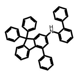 c1ccc(-c2ccccc2Nc2cc(-c3ccccc3)c3c(c2)C(c2ccccc2)(c2ccccc2)c2ccccc2-3)cc1